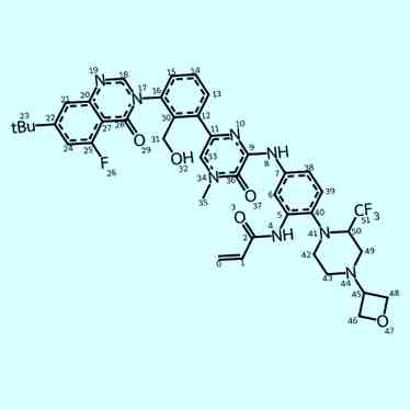 C=CC(=O)Nc1cc(Nc2nc(-c3cccc(-n4cnc5cc(C(C)(C)C)cc(F)c5c4=O)c3CO)cn(C)c2=O)ccc1N1CCN(C2COC2)CC1C(F)(F)F